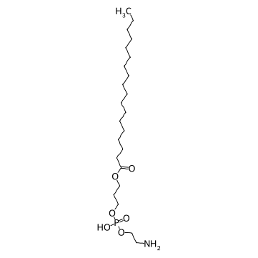 CCCCCCCCCCCCCCCCCC(=O)OCCCOP(=O)(O)OCCN